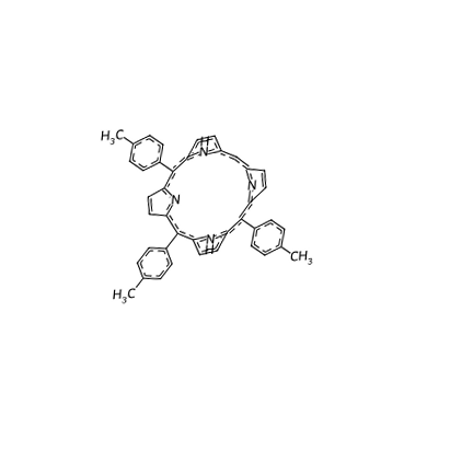 Cc1ccc(-c2c3nc(c(-c4ccc(C)cc4)c4ccc([nH]4)c(-c4ccc(C)cc4)c4nc(cc5ccc2[nH]5)C=C4)C=C3)cc1